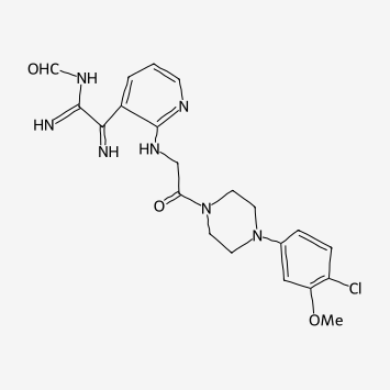 COc1cc(N2CCN(C(=O)CNc3ncccc3C(=N)C(=N)NC=O)CC2)ccc1Cl